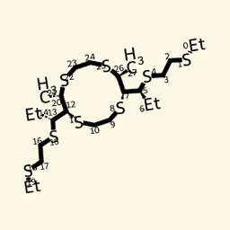 CCSCCS[C@@H](CC)[C@@H]1SCCS[C@@H]([C@@H](CC)SCCSCC)[C@H](C)SCCS[C@H]1C